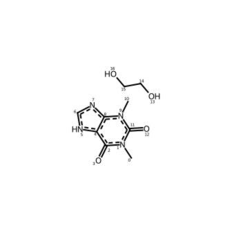 Cn1c(=O)c2[nH]cnc2n(C)c1=O.OCCO